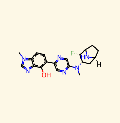 CN(c1cnc(-c2ccc3c(ncn3C)c2O)cn1)[C@H]1C[C@@H]2CCC(N2)[C@H]1F